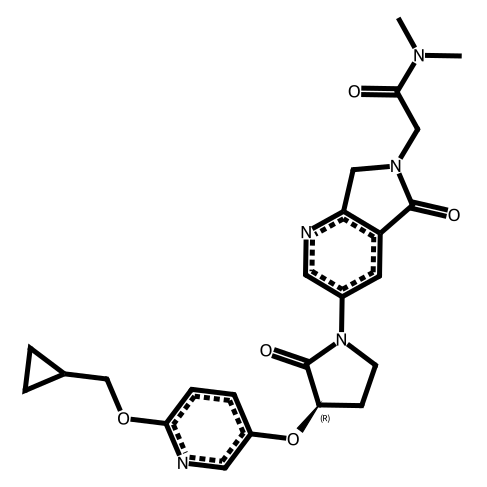 CN(C)C(=O)CN1Cc2ncc(N3CC[C@@H](Oc4ccc(OCC5CC5)nc4)C3=O)cc2C1=O